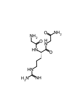 N=C(N)NCCC[C@H](NC(=O)CN)C(=O)NCC(N)=O